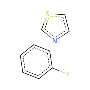 Fc1ccccc1.c1cscn1